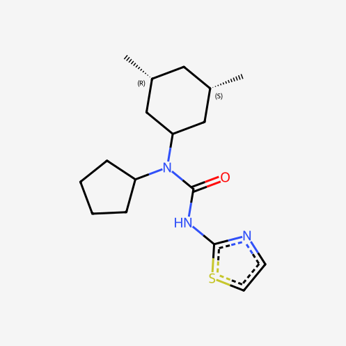 C[C@@H]1CC(N(C(=O)Nc2nccs2)C2CCCC2)C[C@H](C)C1